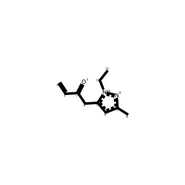 C=CC(=O)Cc1cc(C)nn1CC